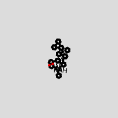 c1ccc(C2=NC(c3ccccc3)NC(c3cccc4c3c3cc(-c5ccccc5)ccc3n4-c3cccc([Si](c4ccccc4)(c4ccccc4)c4ccc5c6ccccc6c6ccccc6c5c4)c3)=N2)cc1